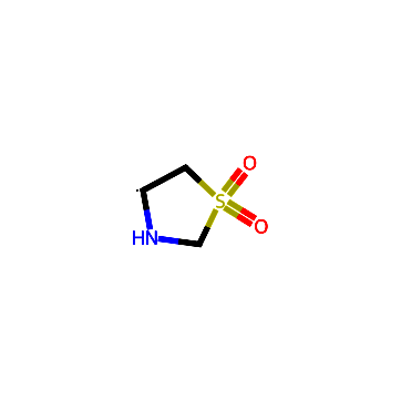 O=S1(=O)C[CH]NC1